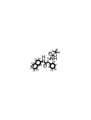 CC(C)(C)OC(=O)NC[C@@H](C(=O)Nc1ccc2cnccc2c1)c1ccccc1